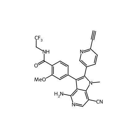 C#Cc1ccc(-c2c(-c3ccc(C(=O)NCC(F)(F)F)c(OC)c3)c3c(N)ncc(C#N)c3n2C)cn1